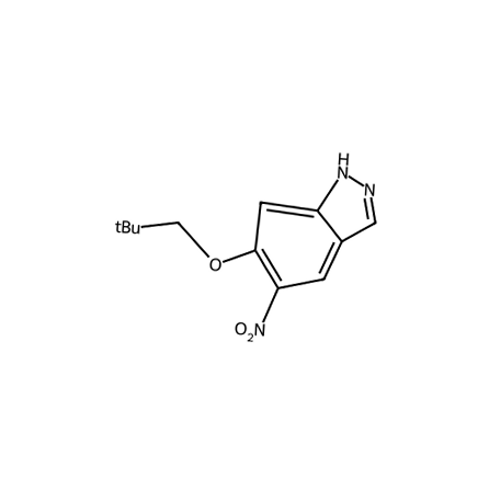 CC(C)(C)COc1cc2[nH]ncc2cc1[N+](=O)[O-]